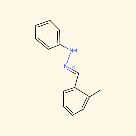 Cc1ccccc1/C=N/Nc1ccccc1